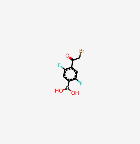 O=C(CBr)c1cc(F)c(B(O)O)cc1F